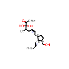 CCCCCC/C=C/[C@H]1[C@H](CO)CC[C@@H]1C/C=C\CC(CC)C(O)(O)C(=O)OC